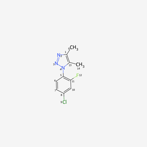 Cc1nnn(-c2ccc(Cl)cc2F)c1C